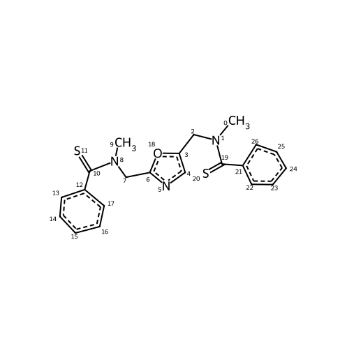 CN(Cc1cnc(CN(C)C(=S)c2ccccc2)o1)C(=S)c1ccccc1